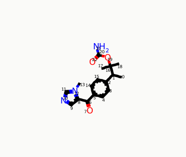 CC(c1ccc(C(=O)c2cncn2C)cc1)C(C)(C)OC(N)=O